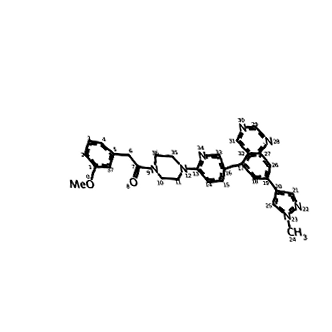 COc1cccc(CC(=O)N2CCN(c3ccc(-c4cc(-c5cnn(C)c5)cc5ncncc45)cn3)CC2)c1